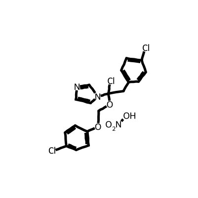 Clc1ccc(CC(Cl)(OCOc2ccc(Cl)cc2)n2ccnc2)cc1.O=[N+]([O-])O